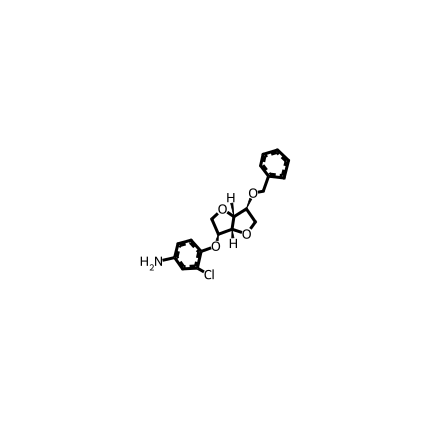 Nc1ccc(O[C@H]2CO[C@H]3[C@@H]2OC[C@@H]3OCc2ccccc2)c(Cl)c1